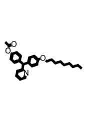 CCCCCCCCCOc1ccc(C(c2ccc(OC(C)=O)cc2)c2ccccn2)cc1